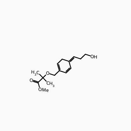 COC(=O)C(C)(C)OCC1=CCC(=CCCO)C=C1